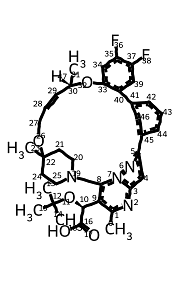 Cc1nc2cc3nn2c(c1[C@H](OC(C)(C)C)C(=O)O)N1CCC(C)(CC1)OCC=C[C@H](C)Oc1cc(F)c(F)cc1-c1cccc-3c1